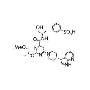 COC[C@@H](C)Oc1nc(C(=O)N[C@H](C)CO)cc(N2CCC(c3c[nH]c4ncccc34)CC2)n1.O=S(=O)(O)c1ccccc1